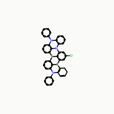 Clc1cc2c3c(c1)N1c4ccccc4N(c4ccccc4)c4cccc(c41)B3c1cccc3c1B2C1=C(C=CCC1)N3c1ccccc1